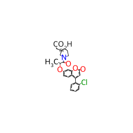 CC(Oc1ccc2c(-c3ccccc3Cl)cc(=O)oc2c1)C(=O)N1CCC[C@H](CC(=O)O)C1